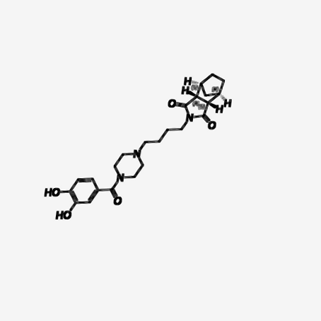 O=C(c1ccc(O)c(O)c1)N1CCN(CCCCN2C(=O)[C@@H]3[C@H]4CC[C@H](C4)[C@@H]3C2=O)CC1